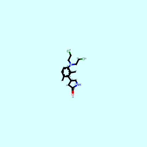 Cc1ccc(N(CCCl)CCCl)c(C)c1C1CNC(=O)C1